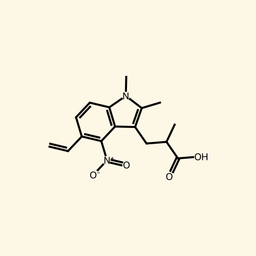 C=Cc1ccc2c(c(CC(C)C(=O)O)c(C)n2C)c1[N+](=O)[O-]